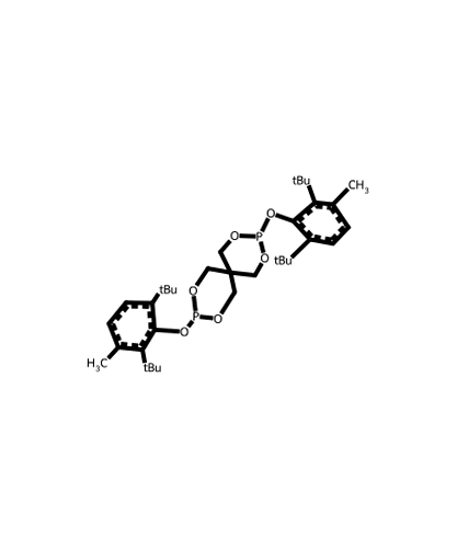 Cc1ccc(C(C)(C)C)c(OP2OCC3(CO2)COP(Oc2c(C(C)(C)C)ccc(C)c2C(C)(C)C)OC3)c1C(C)(C)C